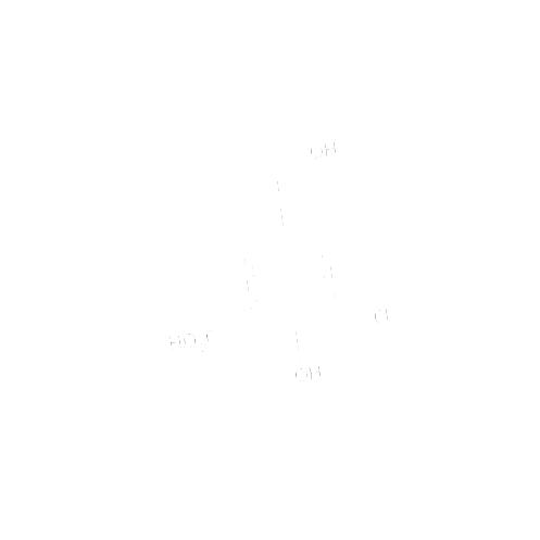 O=C(O)c1cc(CO)cc(Cl)c1O